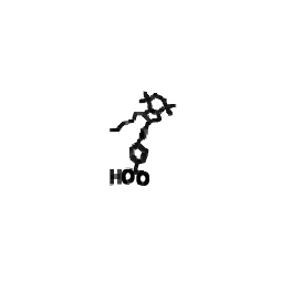 CCCCCC1C2=C(CC1C#Cc1ccc(C(=O)O)cc1)C(C)(C)CCC2(C)C